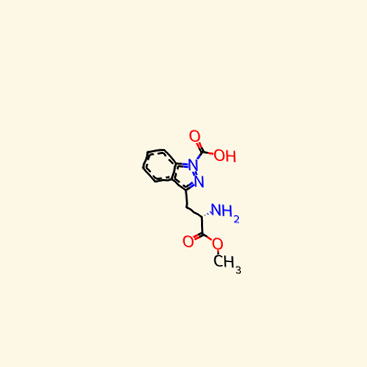 COC(=O)[C@@H](N)Cc1nn(C(=O)O)c2ccccc12